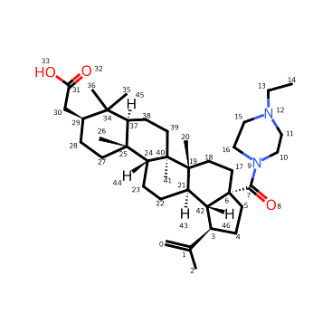 C=C(C)[C@@H]1CC[C@]2(C(=O)N3CCN(CC)CC3)CC[C@]3(C)[C@H](CC[C@@H]4[C@]5(C)CC[C@@H](CC(=O)O)C(C)(C)[C@H]5CC[C@]43C)[C@@H]12